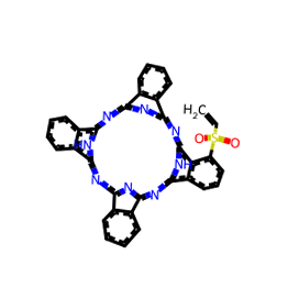 C=CS(=O)(=O)c1cccc2c3nc4nc(nc5[nH]c(nc6nc(nc([nH]3)c12)-c1ccccc1-6)c1ccccc51)-c1ccccc1-4